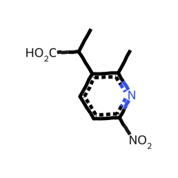 Cc1nc([N+](=O)[O-])ccc1C(C)C(=O)O